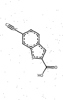 [C-]#[N+]c1ccc2cc(C(=O)O)sc2c1